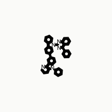 c1ccc(-c2nc(-n3c4ccccc4c4ccc(-c5ccc6c(c5)c5ncccc5n6-c5ccccc5)cc43)nc3ccccc23)cc1